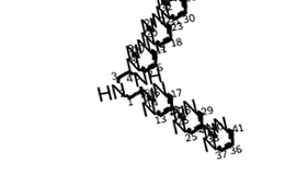 C1CNCCN1.c1cnnnc1.c1cnnnc1.c1cnnnc1.c1cnnnc1.c1cnnnc1.c1cnnnc1